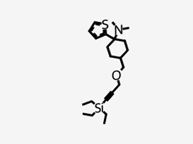 CC[Si](C#CCOCC1CCC(c2cccs2)(N(C)C)CC1)(CC)CC